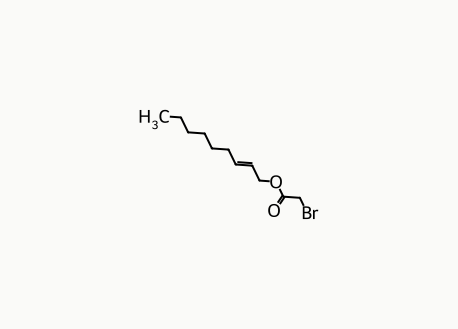 CCCCCCC=CCOC(=O)CBr